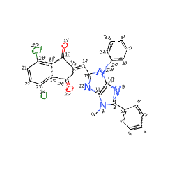 Cn1c(-c2ccccc2)nc2c1nc(C=C1C(=O)c3c(Cl)ccc(Cl)c3C1=O)n2-c1ccccc1